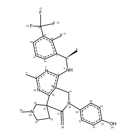 Cc1nc(N[C@H](C)c2cccc(C(F)(F)F)c2F)c2c(n1)C1(CCN(C)C1)C(=O)N(c1ccc(O)cc1)C2